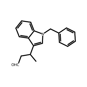 CC(CC=O)c1cn(Cc2ccccc2)c2ccccc12